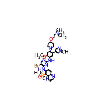 COc1cc(N2CCC(OCCN(C)C)CC2)c(-c2cnn(C)c2)cc1Nc1ncc(Br)c(Nc2ccc3nccnc3c2P(C)(C)=O)n1